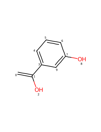 C=C(O)c1cccc(O)c1